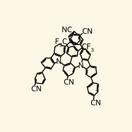 N#Cc1ccc(C2=Cc3c(c4ccc(-c5ccc(C#N)cc5)cc4n3-c3cc(C#N)cc(-n4c5cc(-c6ccc(C#N)cc6)ccc5c5ccc(-c6ccc(C#N)cc6)cc54)c3-c3cc(C(F)(F)F)cc(C(F)(F)F)c3)CC2)cc1